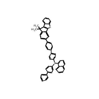 CC1(C)c2ccc(-c3ccc(-c4ccc(N(c5ccc(-c6ccccc6)cc5)c5cccc6ccccc56)cc4)cc3)cc2-c2sc3ccccc3c21